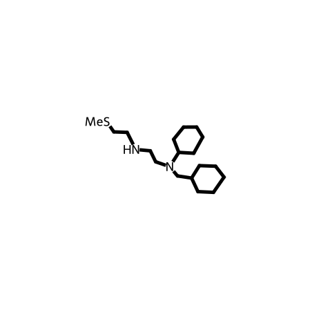 CSCCNCCN(CC1CCCCC1)C1CCCCC1